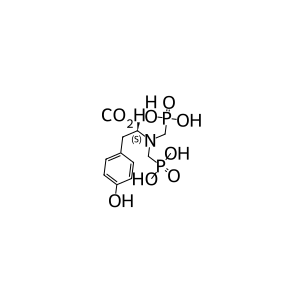 O=C(O)[C@H](Cc1ccc(O)cc1)N(CP(=O)(O)O)CP(=O)(O)O